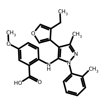 CCc1cocc1-c1c(C)nn(-c2ccccc2C)c1Nc1ccc(OC)cc1C(=O)O